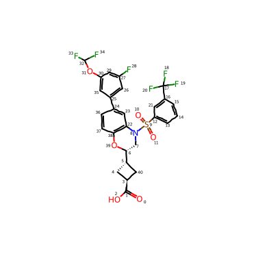 O=C(O)[C@H]1C[C@H]([C@H]2CN(S(=O)(=O)c3cccc(C(F)(F)F)c3)c3cc(-c4cc(F)cc(OC(F)F)c4)ccc3O2)C1